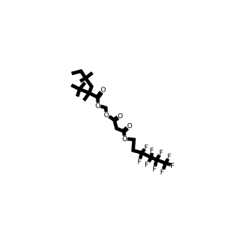 CCC(C)(C)CC(C)(C(=O)OCOC(=O)CC(=O)OCCC(F)(F)C(F)(F)C(F)(F)C(F)(F)F)C(C)(C)C